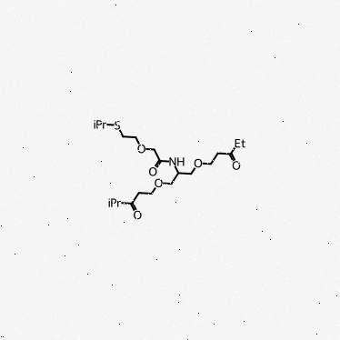 CCC(=O)CCOCC(COCCC(=O)C(C)C)NC(=O)COCCSC(C)C